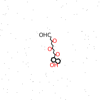 O=CCCC(=O)CCC(=O)CCC(=O)c1ccc(O)c2ccccc12